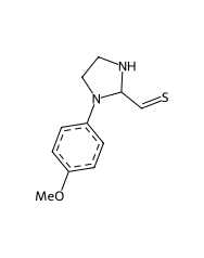 COc1ccc(N2CCNC2C=S)cc1